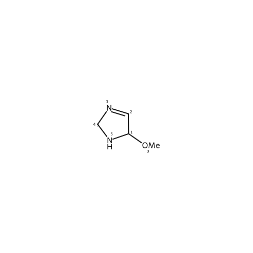 COC1C=N[CH]N1